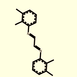 Cc1cccc(N=CC=Nc2cccc(C)c2C)c1C